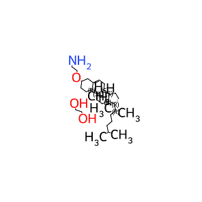 CC(C)CCC[C@@H](C)[C@H]1CC[C@H]2[C@@H]3CC=C4CC(OCCN)CC[C@]4(C)[C@H]3CC[C@]12C.OCCO